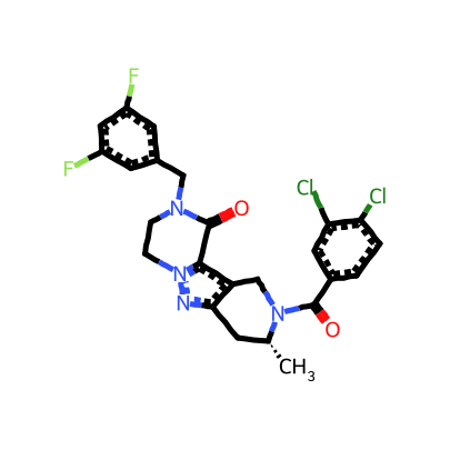 C[C@@H]1Cc2nn3c(c2CN1C(=O)c1ccc(Cl)c(Cl)c1)C(=O)N(Cc1cc(F)cc(F)c1)CC3